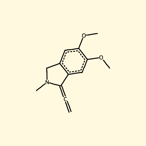 C=C=C1c2cc(OC)c(OC)cc2CN1C